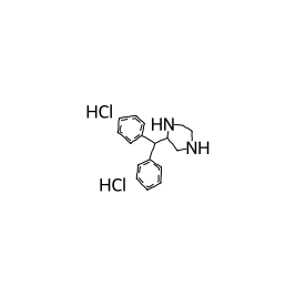 Cl.Cl.c1ccc(C(c2ccccc2)C2CNCCN2)cc1